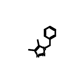 Cc1nnn(Cc2ccccc2)c1C